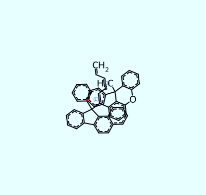 C=C/C=C\C=C(/c1cccc2c1C(C)(c1ccccc1)c1ccccc1O2)C1(c2ccccc2)c2ccccc2-c2ccc3ccccc3c21